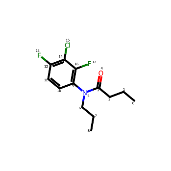 CCCC(=O)N(CCC)c1ccc(F)c(Cl)c1F